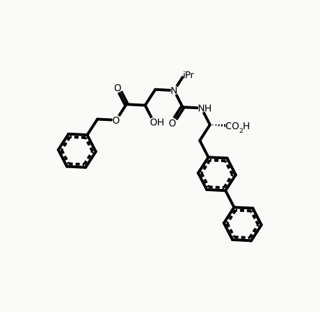 CC(C)N(CC(O)C(=O)OCc1ccccc1)C(=O)N[C@@H](Cc1ccc(-c2ccccc2)cc1)C(=O)O